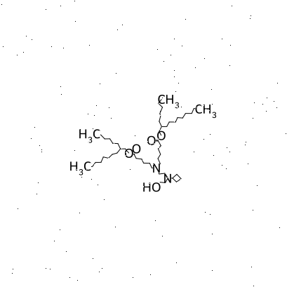 CCCCCCCCCC(CCCCCC)COC(=O)CCCCCN(CCCCCC(=O)OCC(CCCCCC)CCCCCCCC)CCN(CCO)C1CCC1